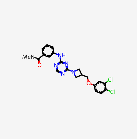 CNC(=O)c1cccc(Nc2ncnc(N3CC(COc4ccc(Cl)c(Cl)c4)C3)n2)c1